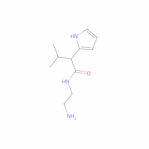 CC(C)C(C(=O)NCCN)c1c[c]c[nH]1